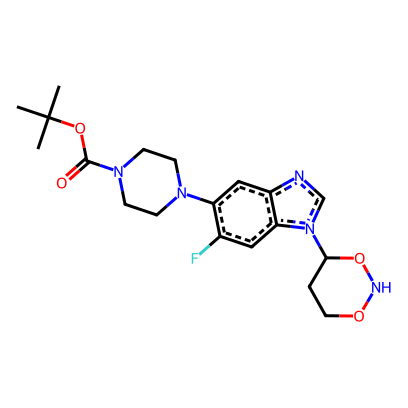 CC(C)(C)OC(=O)N1CCN(c2cc3ncn(C4CCONO4)c3cc2F)CC1